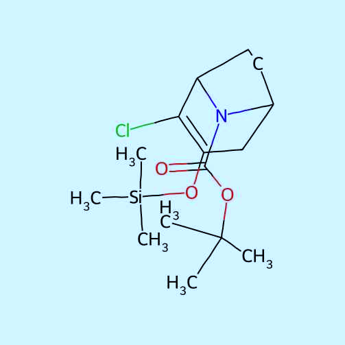 CC(C)(C)OC(=O)N1C2CCC1C(Cl)=C(O[Si](C)(C)C)C2